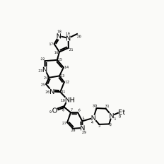 CCN1CCN(c2cc(C(=O)Nc3cc4cc(-c5cnn(C)c5)cnc4cn3)ccn2)CC1